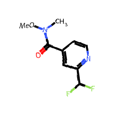 CON(C)C(=O)c1ccnc(C(F)F)c1